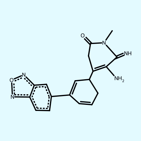 CN1C(=N)C(N)=C(C2C=C(c3ccc4nonc4c3)C=CC2)CC1=O